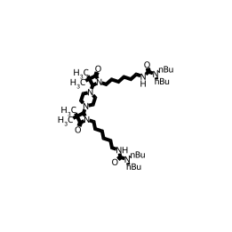 CCCCN(CCCC)C(=O)NCCCCCCN1C(=O)C(C)(C)C1N1CCN(C2N(CCCCCCNC(=O)N(CCCC)CCCC)C(=O)C2(C)C)CC1